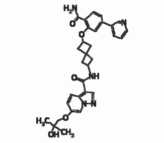 CC(C)(O)COc1ccc2c(C(=O)NC3CC4(C3)CC(Oc3cc(-c5cccnc5)ccc3C(N)=O)C4)cnn2c1